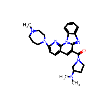 CN1CCCN(c2ccc3cc(C(=O)N4CCC(N(C)C)C4)c4nc5ccccc5n4c3n2)CC1